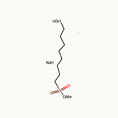 CCCCCCCCCCCCCCCCS(=O)(=S)OC.[NaH]